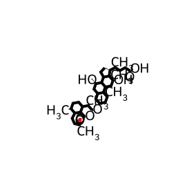 C[C@H]1C(O[C@@H]2CC[C@@]3(C)C(C2)C[C@H](O)C2C3C[C@H](O)[C@@]3(C)C2CC[C@@H]3[C@H](C)CCC(=O)O)OC2O[C@]3(C)CCC4[C@H](C)CCC1[C@@]24OO3